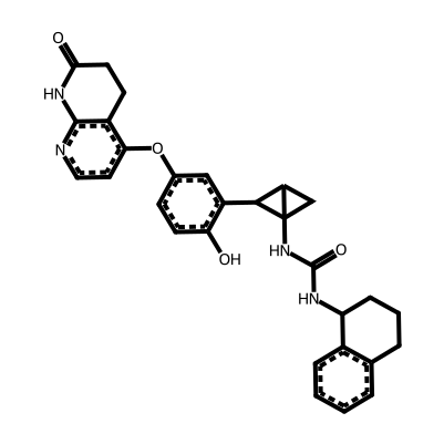 O=C1CCc2c(Oc3ccc(O)c(C4C5CC54NC(=O)NC4CCCc5ccccc54)c3)ccnc2N1